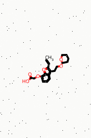 CC=Cc1oc2c(OCC(=O)O)cccc2c1CCOC1CCCCO1